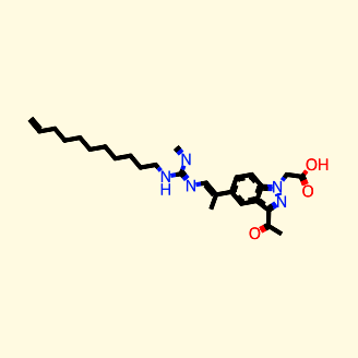 C=CCCCCCCCCCN/C(N=C)=N/C=C(\C)c1ccc2c(c1)c(C(C)=O)nn2CC(=O)O